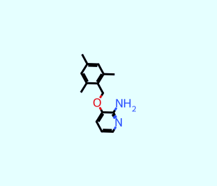 Cc1cc(C)c(COc2cccnc2N)c(C)c1